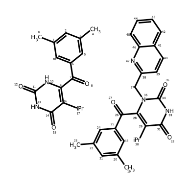 Cc1cc(C)cc(C(=O)c2[nH]c(=O)[nH]c(=O)c2C(C)C)c1.Cc1cc(C)cc(C(=O)c2c(C(C)C)c(=O)[nH]c(=O)n2Cc2ccc3ccccc3n2)c1